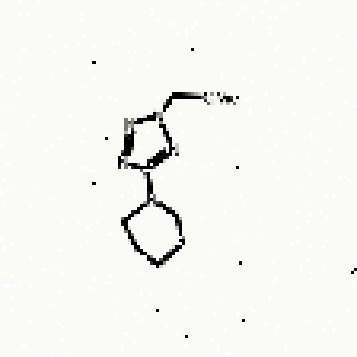 COCn1nnc(N2CCCCC2)n1